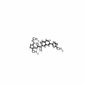 CCCC1CCC(C)N1CC(=O)Nc1cc2cc(-c3nnc(C)s3)ccc2cn1